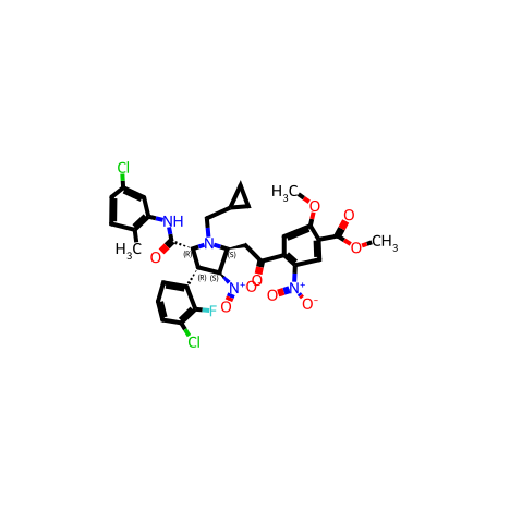 COC(=O)c1cc([N+](=O)[O-])c(C(=O)C[C@H]2[C@@H]([N+](=O)[O-])[C@H](c3cccc(Cl)c3F)[C@H](C(=O)Nc3cc(Cl)ccc3C)N2CC2CC2)cc1OC